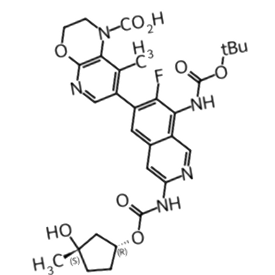 Cc1c(-c2cc3cc(NC(=O)O[C@@H]4CC[C@](C)(O)C4)ncc3c(NC(=O)OC(C)(C)C)c2F)cnc2c1N(C(=O)O)CCO2